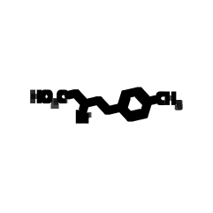 Cc1ccc(CCC(Br)CC(=O)O)cc1